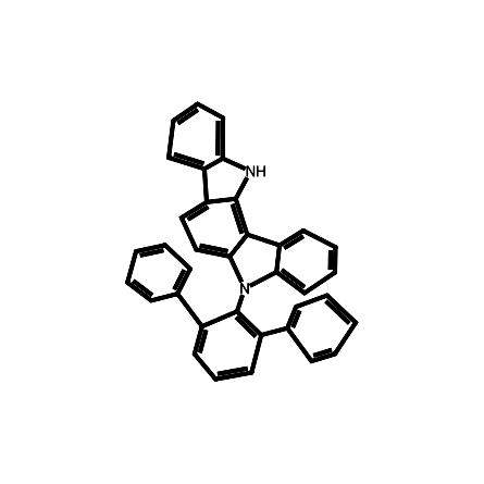 c1ccc(-c2cccc(-c3ccccc3)c2-n2c3ccccc3c3c4[nH]c5ccccc5c4ccc32)cc1